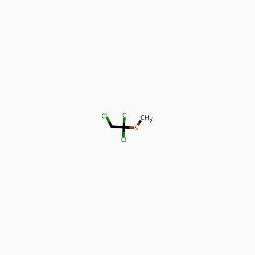 [CH2]SC(Cl)(Cl)CCl